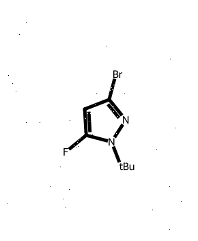 CC(C)(C)n1nc(Br)cc1F